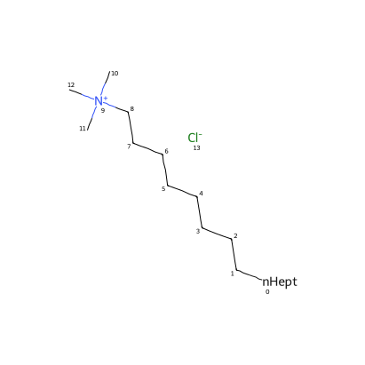 CCCCCCCCCCCCCCC[N+](C)(C)C.[Cl-]